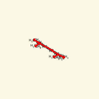 CC1=C(CCCCCCCCC(=O)NCCCCC(NC(=O)CCCCCCCCC2=C(C)CCCC2(C)C)C(=O)NCCCOCCOCCOCCCNC(=O)CCOCCOCCOCCOCCOCCC(=O)NCCCOCCOCCOCCCNC(=O)[C@H](CCCCNC(=O)CCCCCCCCC2=C(C)CCCC2(C)C)NC(=O)CCCCCCCCC2=C(C)CCCC2(C)C)C(C)(C)CCC1